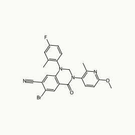 COc1ccc(N2CN(c3ccc(F)cc3C)c3cc(C#N)c(Br)cc3C2=O)c(C)n1